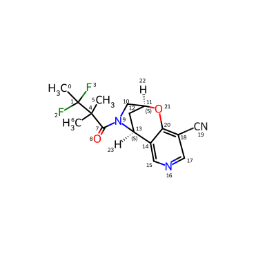 CC(F)(F)C(C)(C)C(=O)N1C[C@@H]2C[C@H]1c1cncc(C#N)c1O2